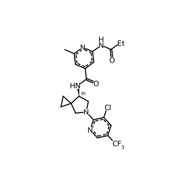 CCC(=O)Nc1cc(C(=O)N[C@H]2CN(c3ncc(C(F)(F)F)cc3Cl)CC23CC3)cc(C)n1